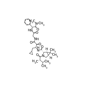 CC(C)[C@H](C)C(=O)N1C[C@H]2[C@@H]([C@H]1C(=O)NC(CC1CC1)C(=O)C(=O)NCC(=O)N[C@H](C(=O)N(C)C)c1ccccc1)C2(C)C